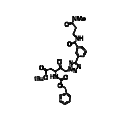 CNC(=O)CCNC(=O)c1cccc(-c2nnn(CC(=O)C(CC(=O)OC(C)(C)C)NC(=O)OCc3ccccc3)n2)c1